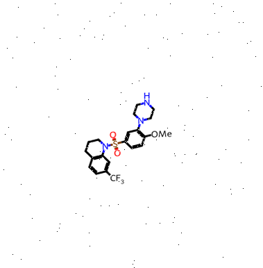 COc1ccc(S(=O)(=O)N2CCCc3ccc(C(F)(F)F)cc32)cc1N1CCNCC1